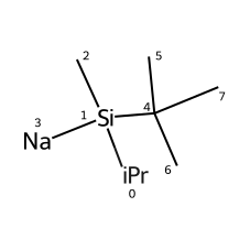 CC(C)[Si](C)([Na])C(C)(C)C